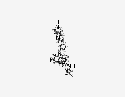 Cc1cc(NC(=O)CS(=O)(=O)c2cn(Cc3cccc(-c4ccc(N5CCNCC5)nc4)c3)c3cc(F)cc(F)c23)no1